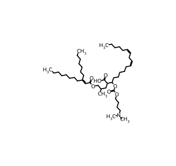 CCCCC/C=C\C/C=C\CCCCCC(OC(=O)OCCCCN(C)C)C(CC(C)COC(=O)/C=C(\CCCCCCC)CCCCCCCC)C(=O)O